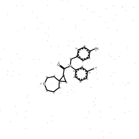 CC(=O)c1ccc(CN(C(=O)C2CC23CCCOCC3)c2cccc(I)c2)cc1